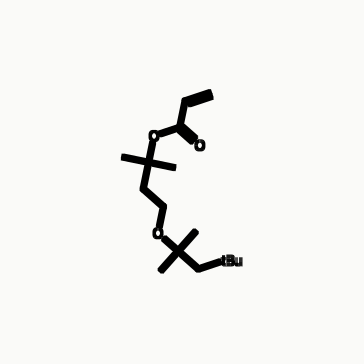 C=CC(=O)OC(C)(C)CCOC(C)(C)CC(C)(C)C